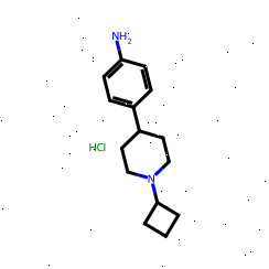 Cl.Nc1ccc(C2CCN(C3CCC3)CC2)cc1